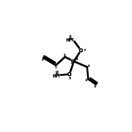 C=CC[Si](CC=C)(OCCC)OCCC